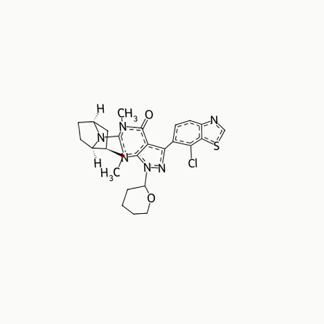 CC[C@@H]1C[C@@H]2CC[C@H]1N2c1nc2c(c(-c3ccc4ncsc4c3Cl)nn2C2CCCCO2)c(=O)n1C